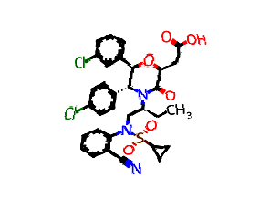 CC[C@@H](CN(c1ccccc1C#N)S(=O)(=O)C1CC1)N1C(=O)[C@H](CC(=O)O)O[C@H](c2cccc(Cl)c2)[C@H]1c1ccc(Cl)cc1